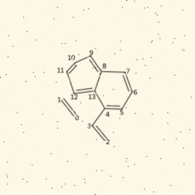 C=C.C=Cc1cccc2ccccc12